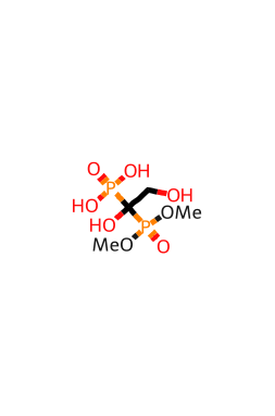 COP(=O)(OC)C(O)(CO)P(=O)(O)O